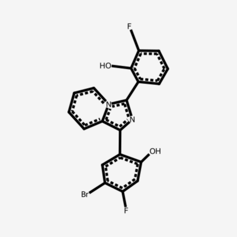 Oc1cc(F)c(Br)cc1-c1nc(-c2cccc(F)c2O)n2ccccc12